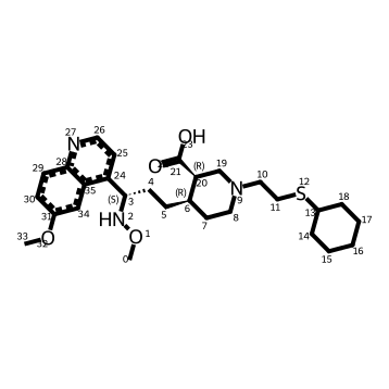 CON[C@@H](CC[C@@H]1CCN(CCSC2CCCCC2)C[C@@H]1C(=O)O)c1ccnc2ccc(OC)cc12